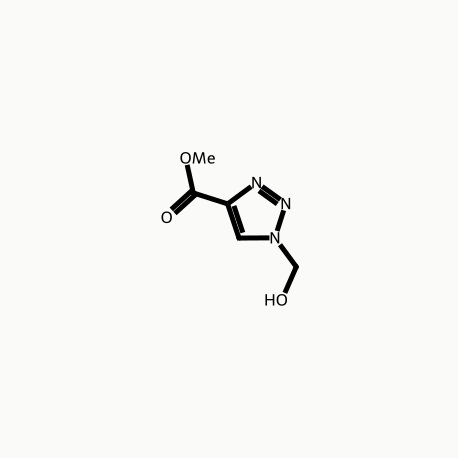 COC(=O)c1cn(CO)nn1